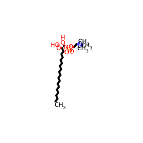 CCCCCCCCCCCCCCCCCCC(OP(=O)([O-])OCC[N+](C)(C)C)[C@H](CO)OO